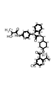 CC(O)C(=O)Nc1ccc(-n2c(=O)n(CC3CCC(NC(=O)c4cc(Cl)cnc4C(F)F)CC3)c3ccccc32)cn1